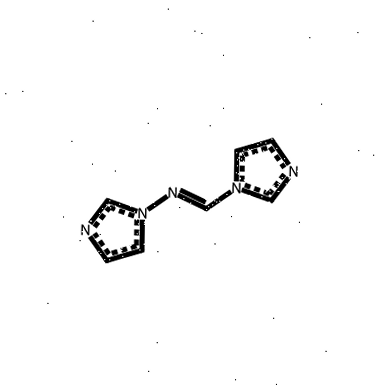 C(=Nn1ccnc1)n1ccnc1